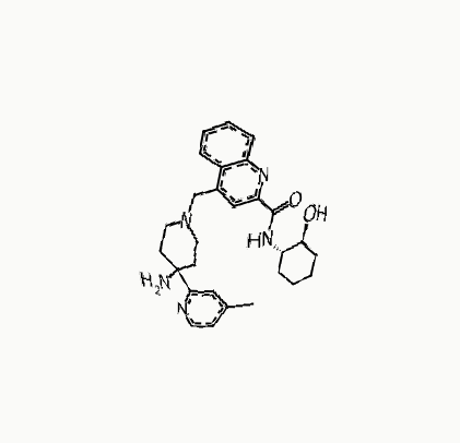 Cc1ccnc(C2(N)CCN(Cc3cc(C(=O)N[C@H]4CCCC[C@@H]4O)nc4ccccc34)CC2)c1